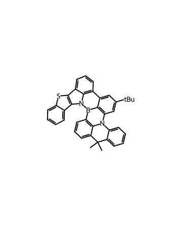 CC(C)(C)c1cc2c3c(c1)N1c4ccccc4C(C)(C)c4cccc(c41)B3n1c3c-2cccc3c2sc3ccccc3c21